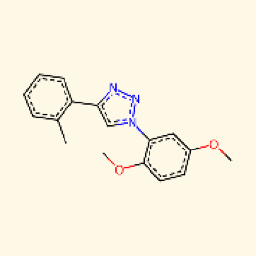 COc1ccc(OC)c(-n2cc(-c3ccccc3C)nn2)c1